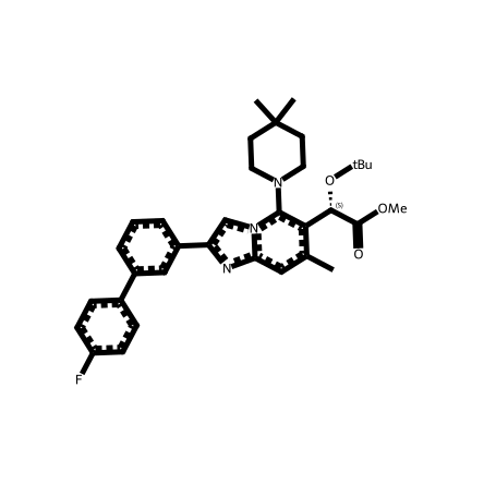 COC(=O)[C@@H](OC(C)(C)C)c1c(C)cc2nc(-c3cccc(-c4ccc(F)cc4)c3)cn2c1N1CCC(C)(C)CC1